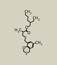 CCCCC(CC)COC(=O)C(C)CSCc1cc(C)cc2c1OCSC2